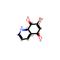 O=C1C=C(Br)C(=O)c2ncccc21